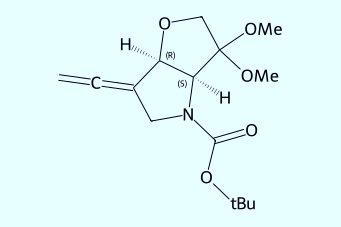 C=C=C1CN(C(=O)OC(C)(C)C)[C@H]2[C@@H]1OCC2(OC)OC